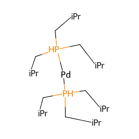 CC(C)C[PH](CC(C)C)(CC(C)C)[Pd][PH](CC(C)C)(CC(C)C)CC(C)C